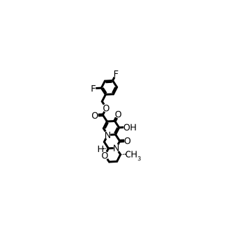 C[C@@H]1CCO[C@H]2Cn3cc(C(=O)OCc4ccc(F)cc4F)c(=O)c(O)c3C(=O)N12